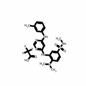 CNS(=O)(=O)c1ccc(N(C)C)c(Nc2cc(Nc3cccc(C)c3)ncn2)c1.O=C(O)C(F)(F)F